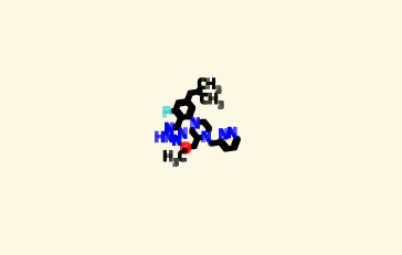 COCC1CN(c2cc(CC(C)C)cc(F)c2-c2nn[nH]n2)CCN1Cc1cccnn1